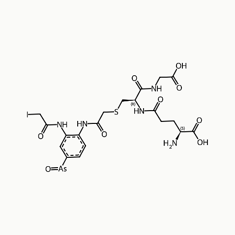 N[C@@H](CCC(=O)N[C@@H](CSCC(=O)Nc1ccc([As]=O)cc1NC(=O)CI)C(=O)NCC(=O)O)C(=O)O